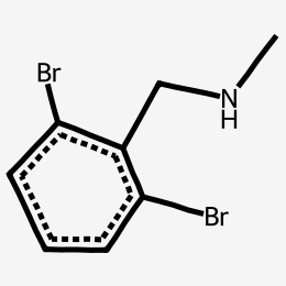 CNCc1c(Br)cccc1Br